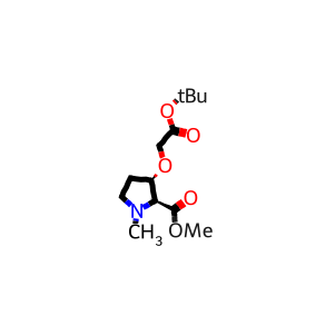 COC(=O)[C@@H]1[C@@H](OCC(=O)OC(C)(C)C)CCN1C